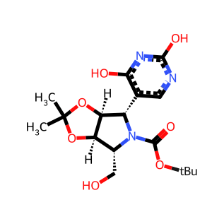 CC(C)(C)OC(=O)N1[C@H](CO)[C@H]2OC(C)(C)O[C@H]2[C@@H]1c1cnc(O)nc1O